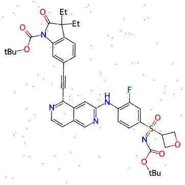 CCC1(CC)C(=O)N(C(=O)OC(C)(C)C)c2cc(C#Cc3nccc4cnc(Nc5ccc(S(=O)(=NC(=O)OC(C)(C)C)C6COC6)cc5F)cc34)ccc21